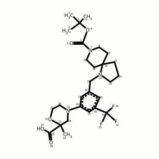 CC(C)(C)OC(=O)N1CCC2(CCCN2Cc2cc(N3CCOC(C)(C(=O)O)C3)cc(C(F)(F)F)c2)CC1